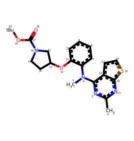 Cc1nc(N(C)c2ccccc2OC2CCN(C(=O)OC(C)(C)C)C2)c2ccsc2n1